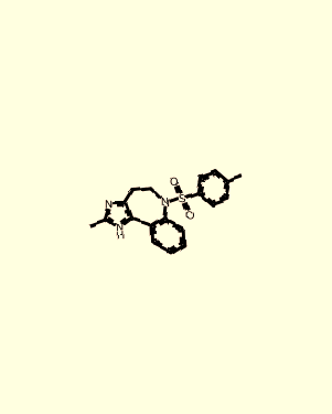 Cc1ccc(S(=O)(=O)N2CCc3nc(C)[nH]c3-c3ccccc32)cc1